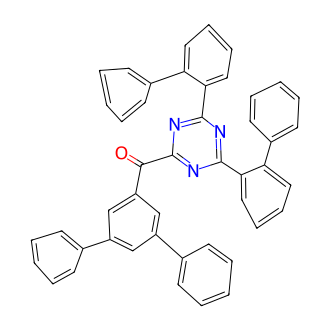 O=C(c1cc(-c2ccccc2)cc(-c2ccccc2)c1)c1nc(-c2ccccc2-c2ccccc2)nc(-c2ccccc2-c2ccccc2)n1